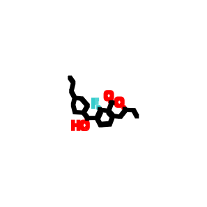 CCCC1CCC(C(O)c2ccc3c(c2F)C(=O)OC(CC)C3)CC1